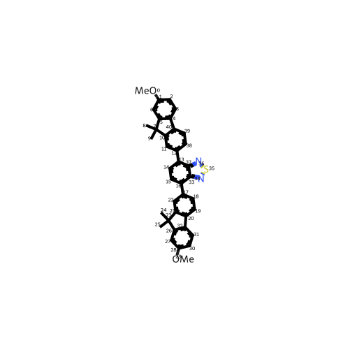 COc1ccc2c(c1)C(C)(C)c1cc(-c3ccc(-c4ccc5c(c4)C(C)(C)c4cc(OC)ccc4-5)c4nsnc34)ccc1-2